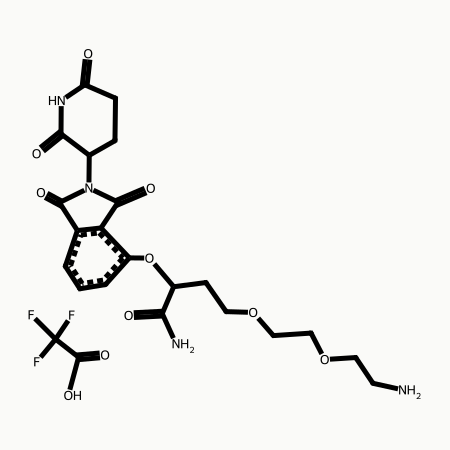 NCCOCCOCCC(Oc1cccc2c1C(=O)N(C1CCC(=O)NC1=O)C2=O)C(N)=O.O=C(O)C(F)(F)F